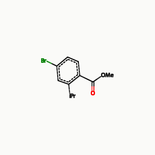 [CH2]C(C)c1cc(Br)ccc1C(=O)OC